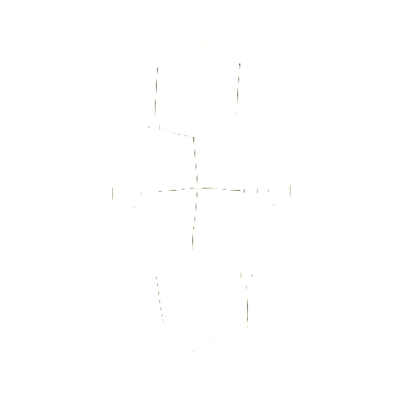 O=C(O)C(C(=O)O)(C1CCCCO1)C1CCCCO1